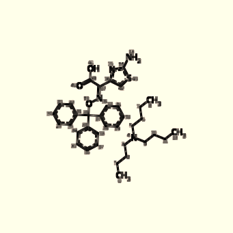 CCCCN(CCCC)CCCC.Nc1nc(/C(=N/OC(c2ccccc2)(c2ccccc2)c2ccccc2)C(=O)O)cs1